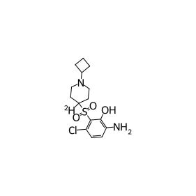 [2H]C1(S(=O)(=O)c2c(Cl)ccc(N)c2O)CCN(C2CCC2)CC1